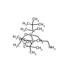 CC(C)(C)O[Si](CCCN)([Si](C)(C)C(C)(C)C)[Si](C)(C)C(C)(C)C